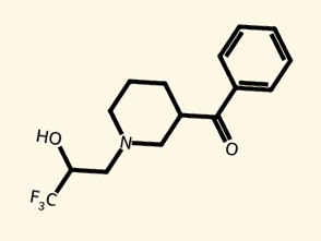 O=C(c1ccccc1)C1CCCN(CC(O)C(F)(F)F)C1